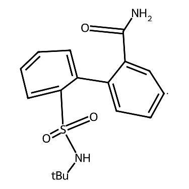 CC(C)(C)NS(=O)(=O)c1ccccc1-c1cc[c]cc1C(N)=O